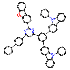 c1ccc(-c2ccc(-c3cc(-c4cc(-c5ccc6c7ccccc7n(-c7ccccc7)c6c5)cc(-c5ccc6c7ccccc7n(-c7ccccc7)c6c5)c4)nc(-c4ccc5c(c4)oc4ccccc45)n3)cc2)cc1